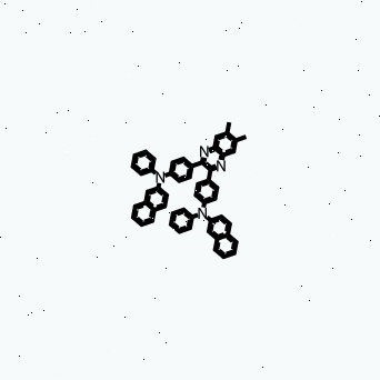 Cc1cc2nc(-c3ccc(N(c4ccccc4)c4ccc5ccccc5c4)cc3)c(-c3ccc(N(c4ccccc4)c4ccc5ccccc5c4)cc3)nc2cc1C